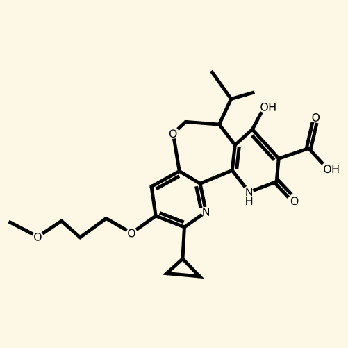 COCCCOc1cc2c(nc1C1CC1)-c1[nH]c(=O)c(C(=O)O)c(O)c1C(C(C)C)CO2